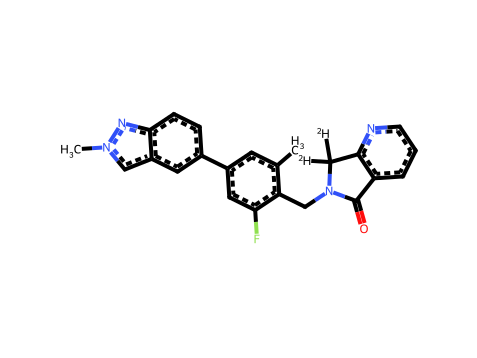 [2H]C1([2H])c2ncccc2C(=O)N1Cc1c(C)cc(-c2ccc3nn(C)cc3c2)cc1F